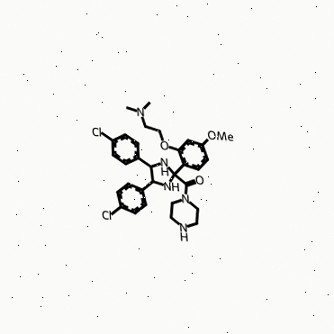 COc1ccc(C2(C(=O)N3CCNCC3)NC(c3ccc(Cl)cc3)C(c3ccc(Cl)cc3)N2)c(OCCN(C)C)c1